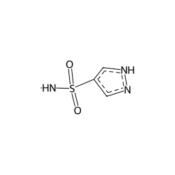 [NH]S(=O)(=O)c1cn[nH]c1